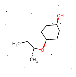 CCC(C)O[C@H]1CC[C@@H](O)CC1